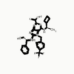 C[C@@H](Nc1nc(C(=O)O)nc2nc(N[C@@H](CO)c3ccccc3)n(Cc3ccc(C(F)(F)F)cc3)c12)C1CCC1